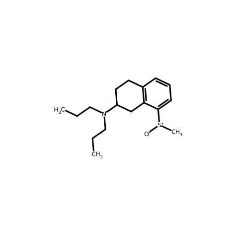 CCCN(CCC)C1CCc2cccc([S+](C)[O-])c2C1